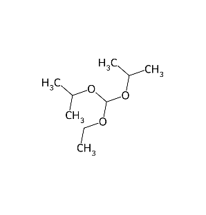 CCOC(OC(C)C)OC(C)C